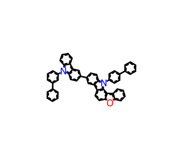 c1ccc(-c2ccc(-n3c4ccc(-c5ccc6c(c5)c5ccccc5n6-c5cccc(-c6ccccc6)c5)cc4c4ccc5oc6ccccc6c5c43)cc2)cc1